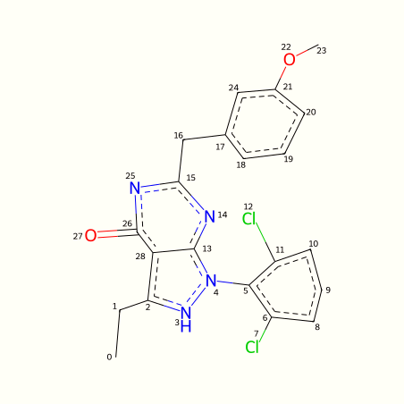 CCc1[nH]n(-c2c(Cl)cccc2Cl)c2nc(Cc3cccc(OC)c3)nc(=O)c1-2